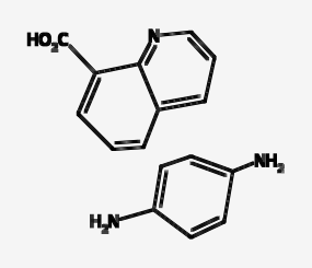 Nc1ccc(N)cc1.O=C(O)c1cccc2cccnc12